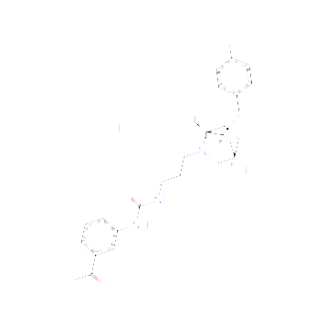 CC(=O)c1cccc(NC(=O)NCCCN2C[C@@H]3CC[C@@H]2[C@@H](Cc2ccc(F)cc2)C3)c1.Cl